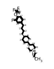 CCC[Si@H]1CC[C@H]([C@H]2CC[C@H](CCCCc3ccc(OC(F)(F)F)c(F)c3)CC2)CC1